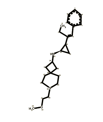 CC/C(=C\c1ccccc1)C1C[C@H]1NC1CC2(CCN(CCOC)CC2)C1